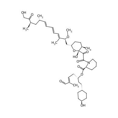 CO[C@@H](C[C@@H]1CC[C@@H](C)[C@](O)(C(=O)C(=O)N2CCCC[C@H]2C(=O)O[C@@H](C/C=C(\C)C=O)CC[C@H]2CC[C@H](O)CC2)O1)/C(C)=C/C=C/C=C/[C@@H](C)C[C@@H](C)C(=O)CO